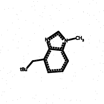 Cn1cnc2c(CC(C)(C)C)cccc21